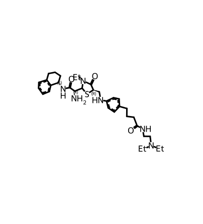 CCN(CC)CCNC(=O)CCCc1ccc(NC[C@H]2SC([C@H](N)C(=O)N[C@H]3CCCc4ccccc43)N(CC)C2=O)cc1